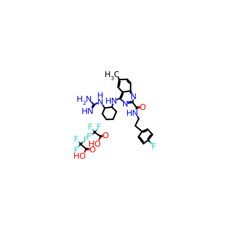 Cc1ccc2nc(C(=O)NCCc3ccc(F)cc3)nc(NC3CCCCC3NC(=N)N)c2c1.O=C(O)C(F)(F)F.O=C(O)C(F)(F)F